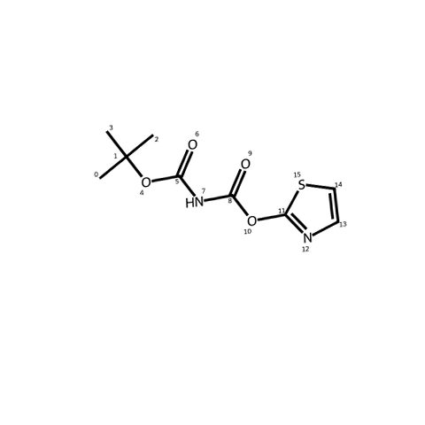 CC(C)(C)OC(=O)NC(=O)Oc1nccs1